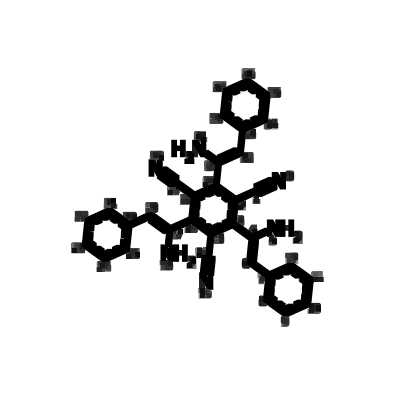 N#Cc1c(C(N)=Cc2ccccc2)c(C#N)c(C(N)=Cc2ccccc2)c(C#N)c1C(N)=Cc1ccccc1